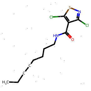 CCCCCCCCNC(=O)c1c(Cl)nsc1Cl